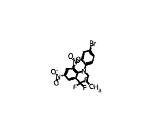 CCCN(c1ccc(Br)cc1)c1c([N+](=O)[O-])cc([N+](=O)[O-])cc1C(F)(F)F